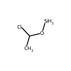 CC(Cl)O[SiH3]